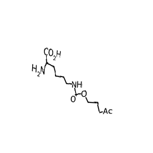 CC(=O)CCCOC(=O)NCCCCC(N)C(=O)O